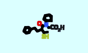 CC(S)C(CCc1ccccc1)C(=O)N(CC(=O)O)c1ccccc1